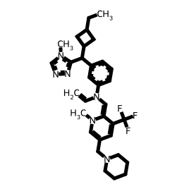 C=CN(/C=C1/C(C(F)(F)F)=CC(CN2CCCCC2)=CN1C)c1cccc(C(c2nncn2C)C2CC(CC)C2)c1